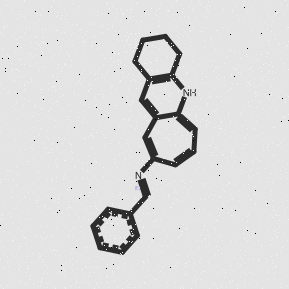 C1=CC(/N=C/c2ccccc2)=CC2=CC3=C(CCCC3)NC2=C1